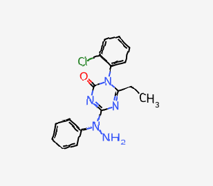 CCc1nc(N(N)c2ccccc2)nc(=O)n1-c1ccccc1Cl